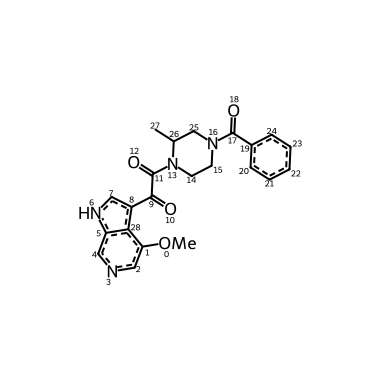 COc1cncc2[nH]cc(C(=O)C(=O)N3CCN(C(=O)c4ccccc4)CC3C)c12